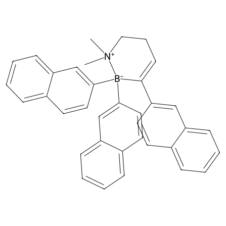 C[N+]1(C)CCC=C(c2ccc3ccccc3c2)[B-]1(c1ccc2ccccc2c1)c1ccc2ccccc2c1